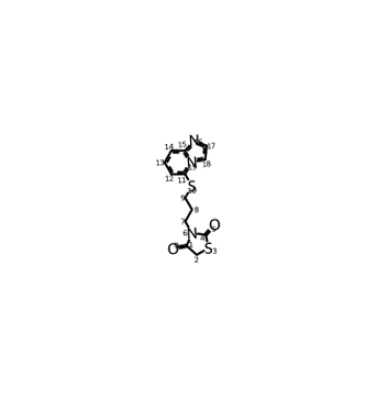 O=C1CSC(=O)N1CCCSc1cccc2nccn12